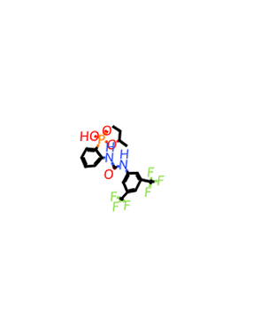 CCC(C)OP(=O)(O)c1ccccc1NC(=O)Nc1cc(C(F)(F)F)cc(C(F)(F)F)c1